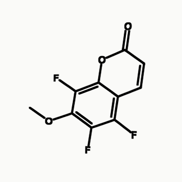 COc1c(F)c(F)c2ccc(=O)oc2c1F